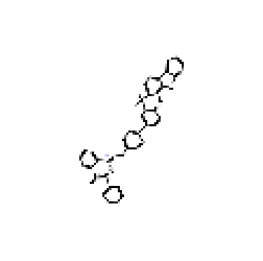 C=N/C(=N\C(=C/Cc1ccc(-c2ccc3c(c2)C(C)(C)c2ccc4c(oc5ccccc54)c2O3)cc1)c1ccccc1)c1ccccc1